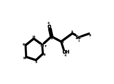 C[Se]CC(O)C(=O)N1CCCCC1